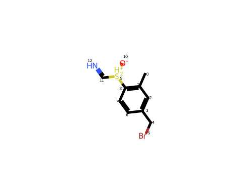 Cc1cc(CBr)ccc1[SH2+]([O-])C=N